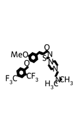 COc1cc(/C=C2\SC(N3CCN(CCN(C)C)CC3)=NC2=O)ccc1OCc1ccc(C(F)(F)F)cc1C(F)(F)F